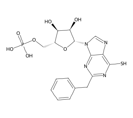 O=P(O)(O)OC[C@H]1O[C@@H](n2cnc3c(S)nc(Cc4ccccc4)nc32)[C@H](O)[C@@H]1O